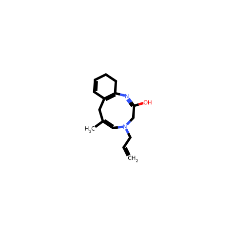 C=CCN1/C=C(/C)CC2=C(CCC=C2)/N=C(/O)C1